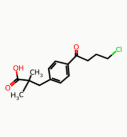 CC(C)(Cc1ccc(C(=O)CCCCl)cc1)C(=O)O